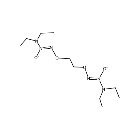 CCN(CC)[N+]([O-])=NOCCON=[N+]([O-])N(CC)CC